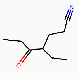 CCC(=O)C(CC)CCC#N